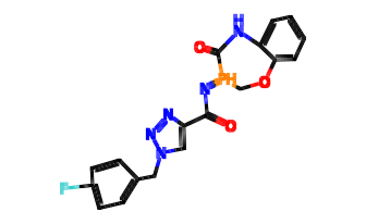 O=C(/N=[PH]1\COc2ccccc2NC1=O)c1cn(Cc2ccc(F)cc2)nn1